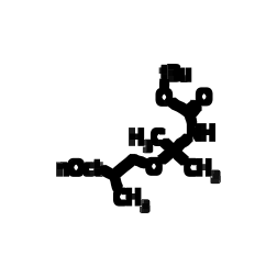 CCCCCCCCC(C)COC(C)(C)NC(=O)OC(C)(C)C